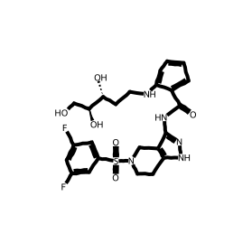 O=C(Nc1n[nH]c2c1CN(S(=O)(=O)c1cc(F)cc(F)c1)CC2)c1ccccc1NCC[C@@H](O)[C@@H](O)CO